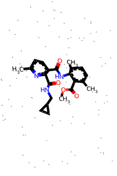 COC(=O)c1c(C)ccc(C)c1NC(=O)c1ccc(C)nc1C(=O)NCC1CC1